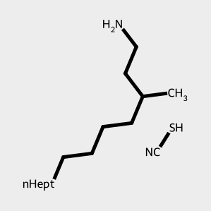 CCCCCCCCCCCC(C)CCN.N#CS